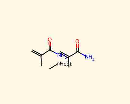 C=C(C)C(N)=O.C=C(C)C(N)=O.CCCCCCCC